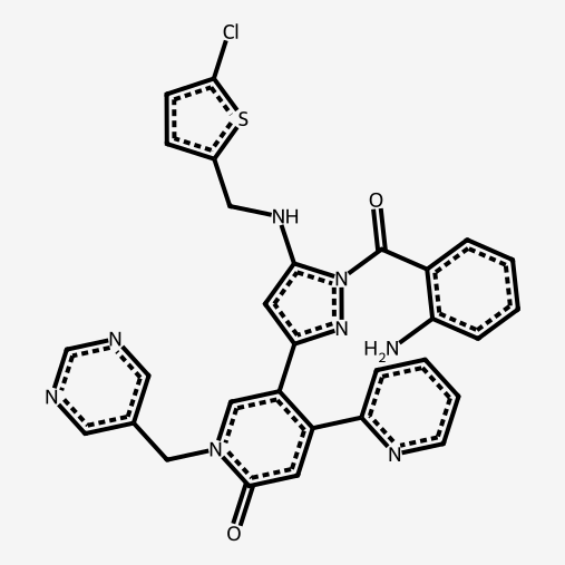 Nc1ccccc1C(=O)n1nc(-c2cn(Cc3cncnc3)c(=O)cc2-c2ccccn2)cc1NCc1ccc(Cl)s1